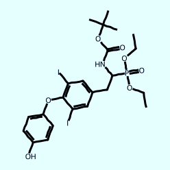 CCOP(=O)(OCC)C(Cc1cc(I)c(Oc2ccc(O)cc2)c(I)c1)NC(=O)OC(C)(C)C